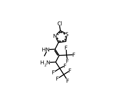 CN/C(=C(\C(N)C(F)(F)C(F)(F)F)C(F)(F)F)c1csc(Cl)n1